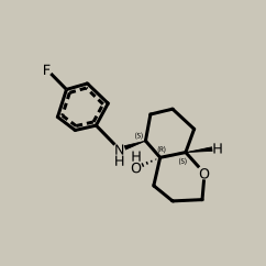 O[C@@]12CCCO[C@H]1CCC[C@@H]2Nc1ccc(F)cc1